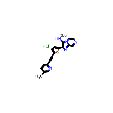 Cc1ccc(C#Cc2ccc(-c3nc4cnccn4c3NC(C)(C)C)s2)nc1.Cl